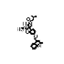 Cc1cc(COc2ccc(C3(C(=O)NO)CN(C(=O)CC(C)C)C3)cc2)c2ccccc2n1